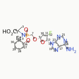 CCN(C(C)C(=O)O)P(=O)(CO[C@@H]1C=C(F)[C@H](n2cnc3c(N)ncnc32)O1)Oc1ccccc1